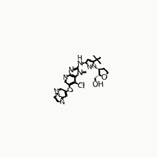 Cn1c(Nc2cc(C(C)(C)C)n([C@H]3CCO[C@@H]3CO)n2)nc2ncc(Oc3cnn4ccnc4c3)c(Cl)c21